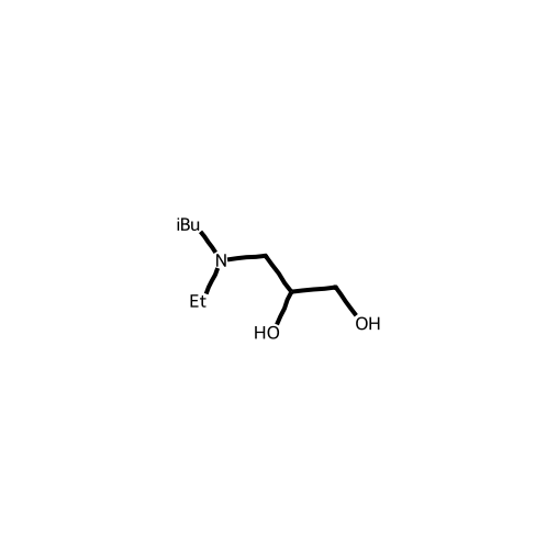 CCC(C)N(CC)CC(O)CO